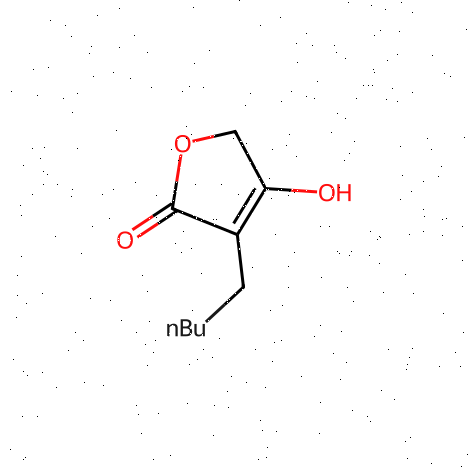 CCCCCC1=C(O)COC1=O